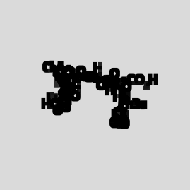 CCCCC(Cc1cnc(S(C)(=O)=O)nc1)NCC(=O)N[C@@H](CCC(=O)O)C(=O)NCC(=O)NCOCC(=O)N[C@H]1CCc2c(C)c(Cl)cc3nc4c(c1c23)Cn1c-4cc2c(c1=O)COC(=O)[C@]2(O)CC